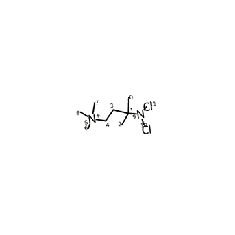 CC(C)(CC[N+](C)(C)C)N(Cl)Cl